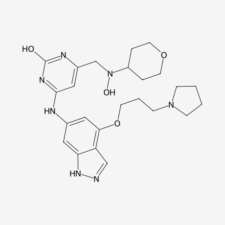 Oc1nc(CN(O)C2CCOCC2)cc(Nc2cc(OCCCN3CCCC3)c3cn[nH]c3c2)n1